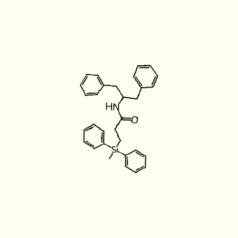 C[Si](CCC(=O)NC(Cc1ccccc1)Cc1ccccc1)(c1ccccc1)c1ccccc1